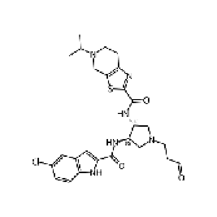 CC(C)N1CCc2nc(C(=O)N[C@@H]3CN(CCC=O)C[C@H]3NC(=O)c3cc4cc(Cl)ccc4[nH]3)sc2C1